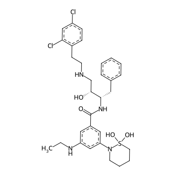 CCNc1cc(C(=O)N[C@@H](Cc2ccccc2)[C@H](O)CNCCc2ccc(Cl)cc2Cl)cc(N2CCCCS2(O)O)c1